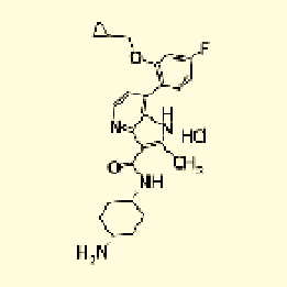 Cc1[nH]c2c(-c3ccc(F)cc3OCC3CC3)ccnc2c1C(=O)N[C@H]1CC[C@@H](N)CC1.Cl